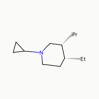 CC[C@@H]1CCN(C2CC2)C[C@@H]1C(C)C